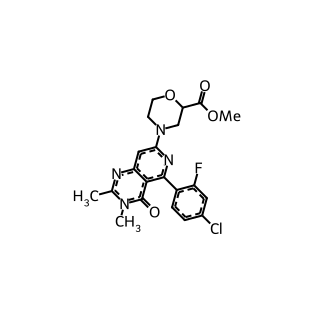 COC(=O)C1CN(c2cc3nc(C)n(C)c(=O)c3c(-c3ccc(Cl)cc3F)n2)CCO1